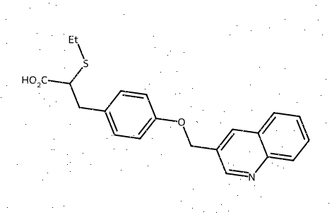 CCSC(Cc1ccc(OCc2cnc3ccccc3c2)cc1)C(=O)O